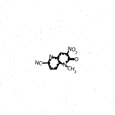 Cn1c(=O)c([N+](=O)[O-])cc2nc(C#N)ccc21